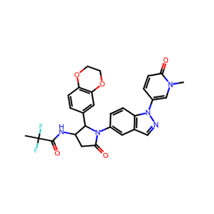 Cn1cc(-n2ncc3cc(N4C(=O)CC(NC(=O)C(C)(F)F)C4c4ccc5c(c4)OCCO5)ccc32)ccc1=O